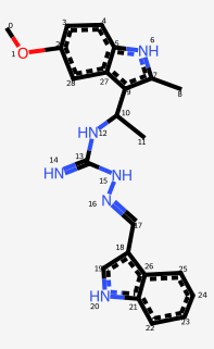 COc1ccc2[nH]c(C)c(C(C)NC(=N)N/N=C/c3c[nH]c4ccccc34)c2c1